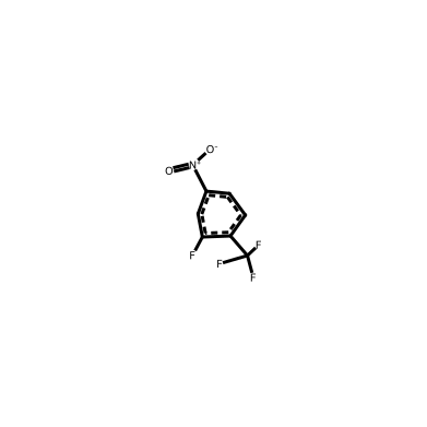 O=[N+]([O-])c1ccc(C(F)(F)F)c(F)c1